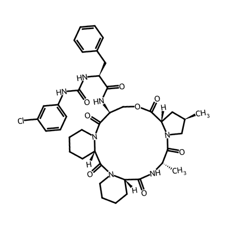 C[C@@H]1C[C@H]2C(=O)OC[C@H](NC(=O)[C@H](Cc3ccccc3)NC(=O)Nc3cccc(Cl)c3)C(=O)N3CCCC[C@H]3C(=O)N3CCCC[C@H]3C(=O)N[C@@H](C)C(=O)N2C1